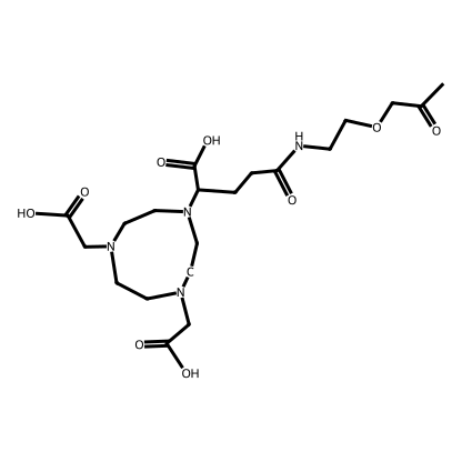 CC(=O)COCCNC(=O)CCC(C(=O)O)N1CCN(CC(=O)O)CCN(CC(=O)O)CC1